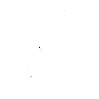 C[C@H]1NC(=O)[C@]2(C)CC[C@@H](c3ccc(C(N)=O)cc3Cl)[C@H](c3ccc(Cl)cc3)[C@H]12